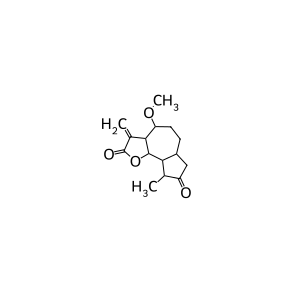 C=C1C(=O)OC2C1C(OC)CCC1CC(=O)C(C)C12